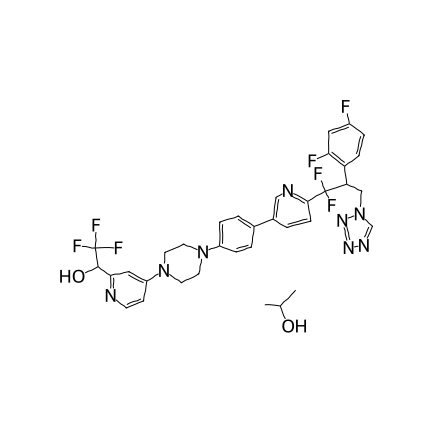 CC(C)O.OC(c1cc(N2CCN(c3ccc(-c4ccc(C(F)(F)C(Cn5cnnn5)c5ccc(F)cc5F)nc4)cc3)CC2)ccn1)C(F)(F)F